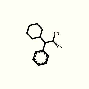 N#CC(C#N)C(c1ccccc1)C1CCCCC1